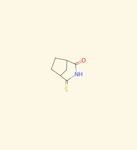 O=C1NC(=S)C2CCC1C2